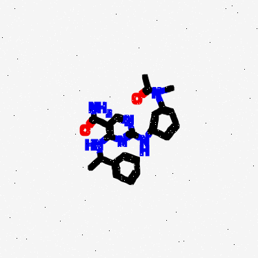 CC(=O)N(C)c1cccc(Nc2ncc(C(N)=O)c(NC(C)c3ccccc3)n2)c1